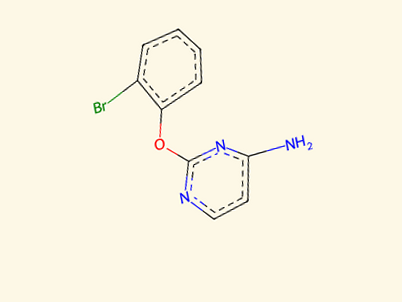 Nc1ccnc(Oc2ccccc2Br)n1